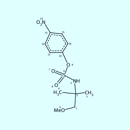 COCC(C)(C)NS(=O)(=O)Oc1ccc([N+](=O)[O-])cc1